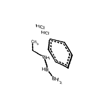 BBBCC.Cl.Cl.c1ccccc1